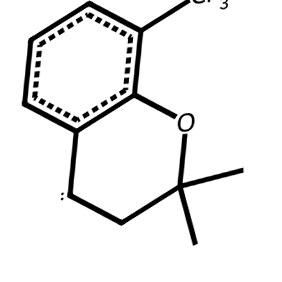 CC1(C)C[C]c2cccc(C(F)(F)F)c2O1